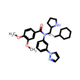 COc1ccc(C(=O)N(c2cccc(-n3cccn3)c2)[C@@H](CC2CCCCC2)C2CCCN2)cc1OC